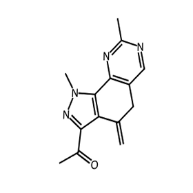 C=C1Cc2cnc(C)nc2-c2c1c(C(C)=O)nn2C